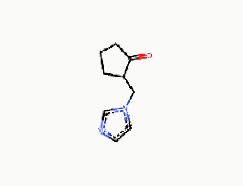 O=C1CCCC1Cn1ccnc1